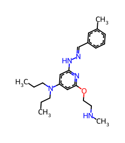 CCCN(CCC)c1cc(N/N=C/c2cccc(C)c2)nc(OCCNC)c1